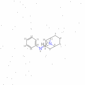 CN1C2CCCC1CC(=Nc1ccccc1)C2